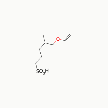 C=COCC(C)CCCS(=O)(=O)O